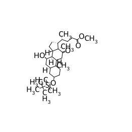 COC(=O)CC[C@@H](C)[C@H]1CC[C@H]2[C@@H]3[C@H](O)C[C@@H]4CC(O[Si](C)(C)C(C)(C)C)CC[C@]4(C)[C@H]3CC(=O)[C@]12C